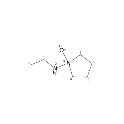 CCN[N+]1([O-])CCCC1